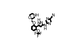 N#Cc1cnc(Nc2cc(-c3c(OC[C@@H]4CNCCO4)cccc3OC(F)(F)F)[nH]n2)cn1